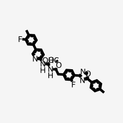 Cc1ccc(-c2nc(-c3ccc(CC(NC(=O)Nc4ccc(-c5ccc(C)c(F)c5)cn4)OC=O)cc3F)no2)cc1